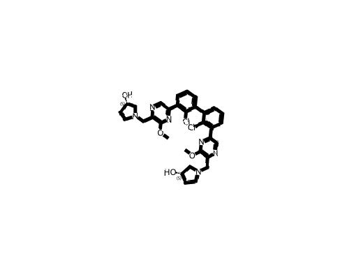 COc1nc(-c2cccc(-c3cccc(-c4cnc(CN5CC[C@H](O)C5)c(OC)n4)c3Cl)c2Cl)cnc1CN1CC[C@H](O)C1